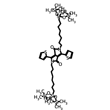 C[Si](C)(C)O[Si](C)(CCCCCCCCN1C(=O)C2=C(c3cccs3)N(CCCCCCCC[Si](C)(O[Si](C)(C)C)O[Si](C)(C)C)C(=O)C2=C1c1cccs1)O[Si](C)(C)C